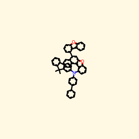 CC1(C)c2ccccc2-c2ccc(N(c3ccc(-c4ccccc4)cc3)c3cccc4oc5cc(-c6cccc7oc8ccccc8c67)c6ccccc6c5c34)cc21